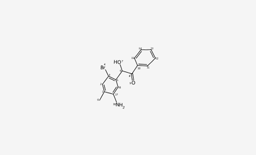 Cc1cc(Br)c(C(O)C(=O)c2ccccc2)cc1N